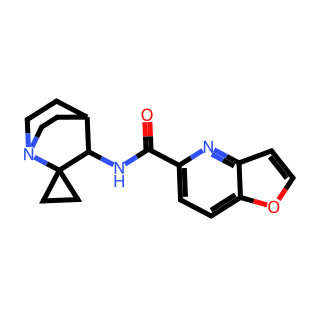 O=C(NC1C2CCN(CC2)C12CC2)c1ccc2occc2n1